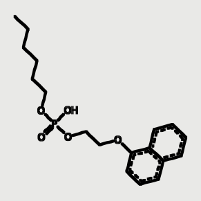 CCCCCCOP(=O)(O)OCCOc1cccc2ccccc12